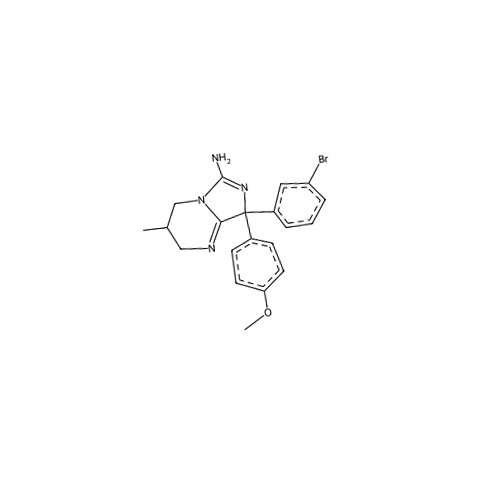 COc1ccc(C2(c3cccc(Br)c3)N=C(N)N3CC(C)CN=C32)cc1